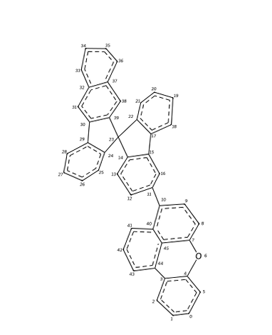 c1ccc2c(c1)Oc1ccc(-c3ccc4c(c3)-c3ccccc3C43c4ccccc4-c4cc5ccccc5cc43)c3cccc-2c13